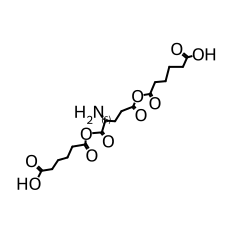 N[C@@H](CCC(=O)OC(=O)CCCCC(=O)O)C(=O)OC(=O)CCCCC(=O)O